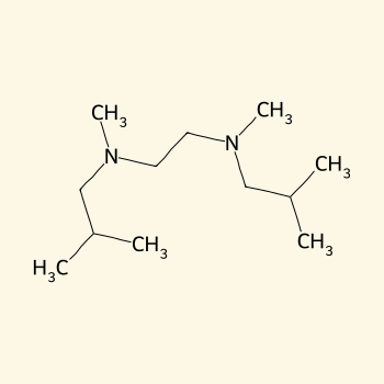 CC(C)CN(C)CCN(C)CC(C)C